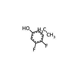 CC.Oc1ccc(F)c(F)c1